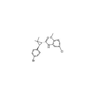 COc1ccc(Cl)cc1NC(=O)[C@@H]1[C@@H](c2ccc(Br)cc2)C1(C)C